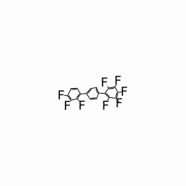 Fc1ccc(-c2ccc(-c3c(F)c(F)c(F)c(F)c3F)cc2)c(F)c1F